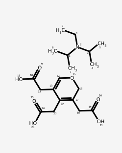 CCN(C(C)C)C(C)C.O=C(O)CC1=COCC(CC(=O)O)=C1CC(=O)O